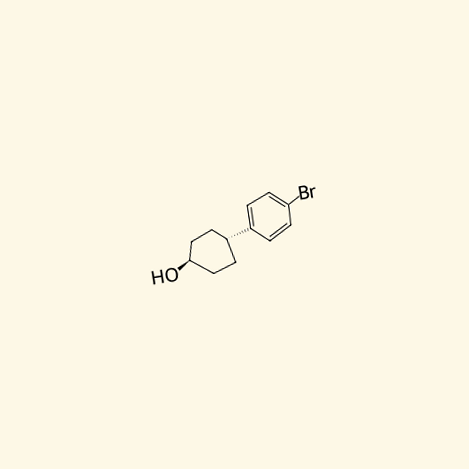 O[C@H]1CC[C@H](c2ccc(Br)cc2)CC1